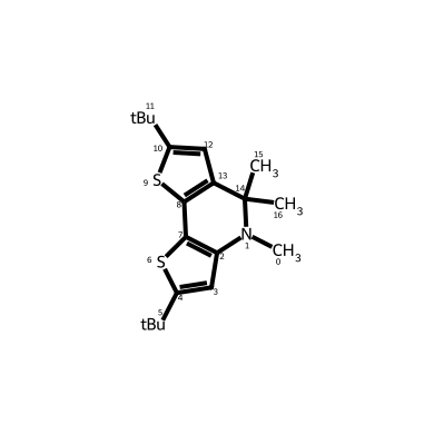 CN1c2cc(C(C)(C)C)sc2-c2sc(C(C)(C)C)cc2C1(C)C